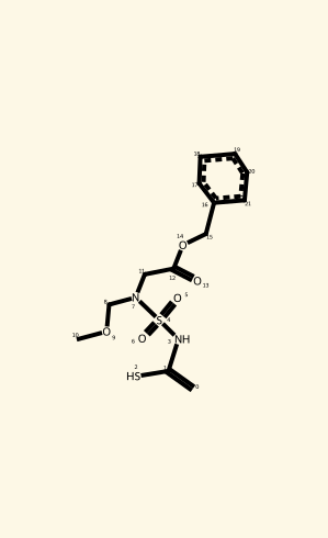 C=C(S)NS(=O)(=O)N(COC)CC(=O)OCc1ccccc1